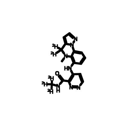 [2H]C([2H])([2H])NC(=O)c1nnccc1Nc1cccc2c1N(C)C([2H])([2H])c1ccnn1-2